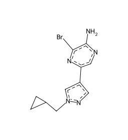 Nc1ncc(-c2cnn(CC3CC3)c2)nc1Br